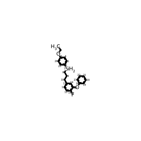 CCOc1ccc([SiH2]CCCc2ccc(F)c(Oc3ccccc3)c2)cc1